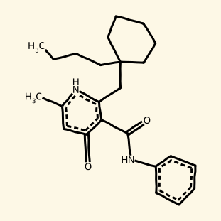 CCCCC1(Cc2[nH]c(C)cc(=O)c2C(=O)Nc2ccccc2)CCCCC1